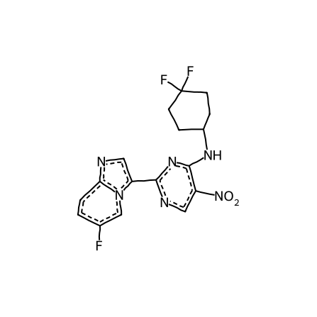 O=[N+]([O-])c1cnc(-c2cnc3ccc(F)cn23)nc1NC1CCC(F)(F)CC1